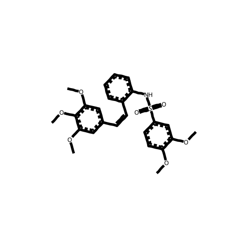 COc1ccc(S(=O)(=O)Nc2ccccc2C=Cc2cc(OC)c(OC)c(OC)c2)cc1OC